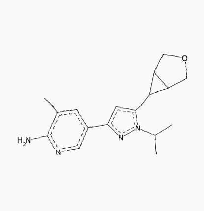 Cc1cc(-c2cc(C3C4COCC43)n(C(C)C)n2)cnc1N